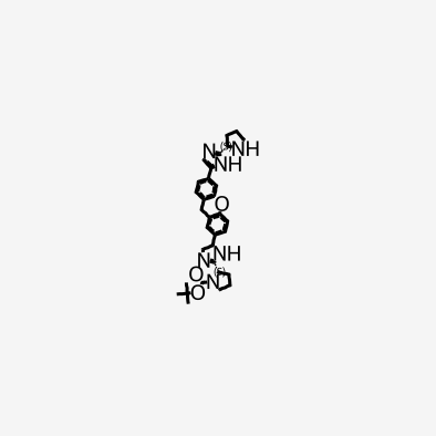 CC(C)(C)OC(=O)N1CCC[C@H]1C1=NCC(c2ccc3c(c2)Cc2ccc(-c4cnc([C@@H]5CCCN5)[nH]4)cc2O3)N1